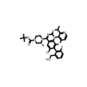 Cc1ccnc(C(C)C)c1-n1c(=O)nc(N2CCN(C(=O)OC(C)(C)C)C[C@@H]2C)c2cc(Cl)c(-c3c(F)cccc3CO)c(F)c21